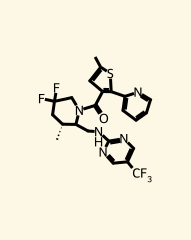 Cc1cc(C(=O)N2CC(F)(F)C[C@@H](C)C2CNc2ncc(C(F)(F)F)cn2)c(-c2ccccn2)s1